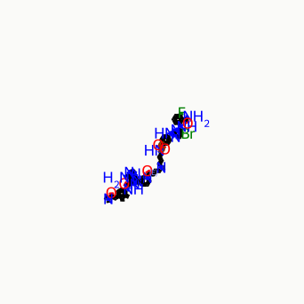 Cc1c(CC(=O)N(C)C)ccc(NC(=O)c2nn([C@@H]3CCCN(C(=O)/C=C/CN(C)CCCCNS(=O)(=O)c4ccc(Nc5ncc(Br)c(Nc6cccc(F)c6C(N)=O)n5)cc4)C3)c3ncnc(N)c23)c1C